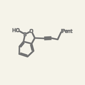 CCCC(C)CC#CC1OB(O)c2ccccc21